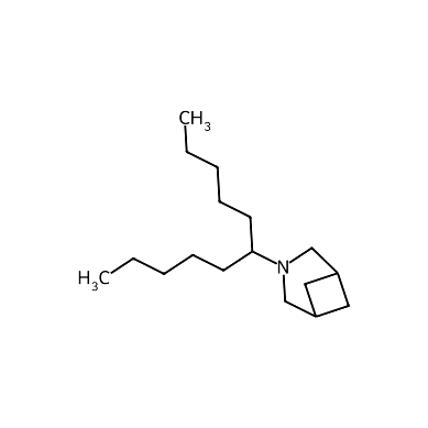 CCCCCC(CCCCC)N1CC2CC(C2)C1